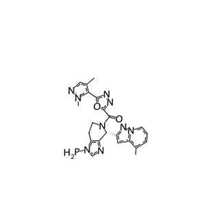 Cc1cnn(C)c1-c1nnc(C(=O)N2CCc3c(ncn3P)[C@H]2c2cc3c(C)cccn3n2)o1